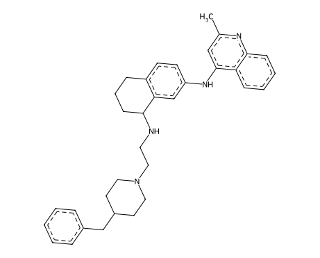 Cc1cc(Nc2ccc3c(c2)C(NCCN2CCC(Cc4ccccc4)CC2)CCC3)c2ccccc2n1